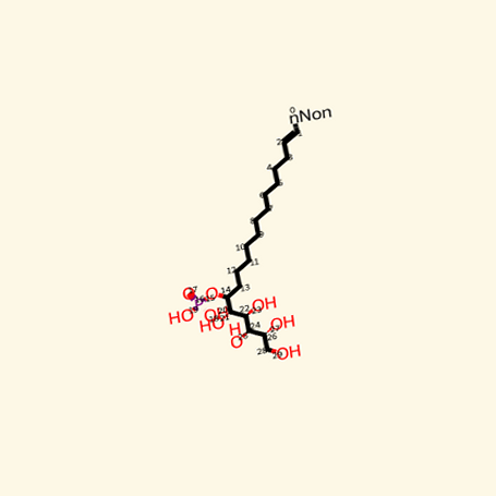 CCCCCCCCCC=CCCCCCCCCCCCC(OP(=O)(O)O)[C@@H](O)[C@@H](O)[C@H](O)[C@H](O)CO